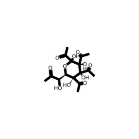 CC(=O)C(O)[C@H]1OC(O)(C(C)=O)[C@](O)(C(C)=O)[C@](O)(C(C)=O)[C@@]1(O)C(C)=O